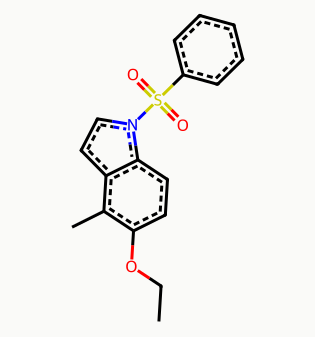 CCOc1ccc2c(ccn2S(=O)(=O)c2ccccc2)c1C